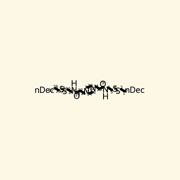 CCCCCCCCCCCCSSCCNC(=O)CCN1CCN(CCC(=O)NCCSSCCCCCCCCCCCC)CC1